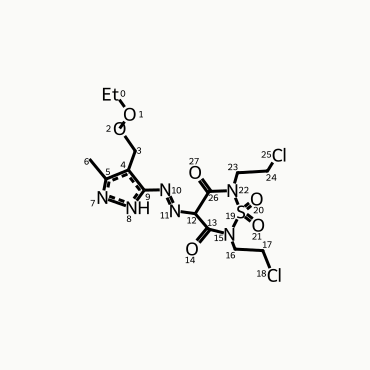 CCOOCc1c(C)n[nH]c1N=NC1C(=O)N(CCCl)S(=O)(=O)N(CCCl)C1=O